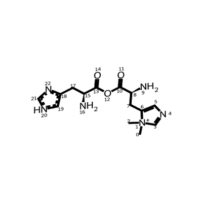 C[N+]1(C)C=NC=C1C[C@H](N)C(=O)OC(=O)[C@@H](N)Cc1c[nH]cn1